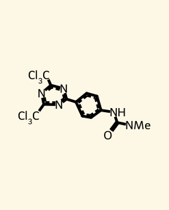 CNC(=O)Nc1ccc(-c2nc(C(Cl)(Cl)Cl)nc(C(Cl)(Cl)Cl)n2)cc1